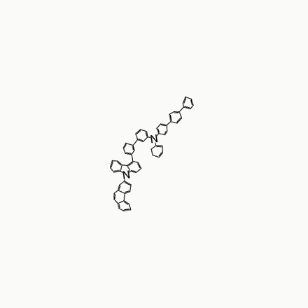 C1=CCCC(N(c2ccc(-c3ccc(-c4ccccc4)cc3)cc2)c2cccc(-c3cccc(-c4cccc5c4c4ccccc4n5-c4ccc5c(ccc6ccccc65)c4)c3)c2)=C1